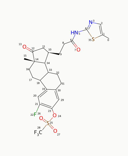 Cc1cnc(NC(=O)CC[C@@H]2CC(=O)[C@@]3(C)CCC4c5cc(F)c(OS(=O)(=O)C(F)(F)F)cc5CCC4C23)s1